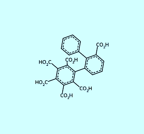 O=C(O)c1cccc(-c2c(C(=O)O)c(C(=O)O)c(C(=O)O)c(C(=O)O)c2C(=O)O)c1-c1ccccc1